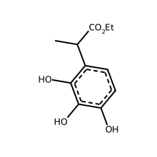 CCOC(=O)C(C)c1ccc(O)c(O)c1O